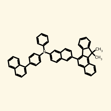 CC1(C)c2ccccc2-c2c(-c3ccc4cc(N(c5ccccc5)c5ccc(-c6cccc7ccccc67)cc5)ccc4c3)cc3ccccc3c21